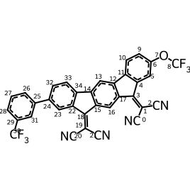 N#CC(C#N)=C1c2cc(OC(F)(F)F)ccc2-c2cc3c(cc21)C(=C(C#N)C#N)c1cc(-c2cccc(C(F)(F)F)c2)ccc1-3